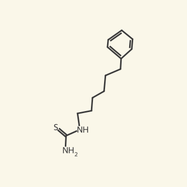 NC(=S)NCCCCCCc1ccccc1